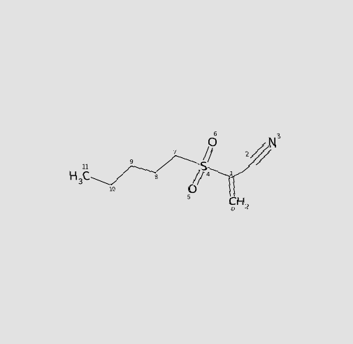 C=C(C#N)S(=O)(=O)CCCCC